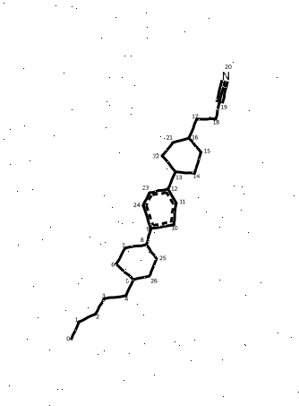 CCCCCC1CCC(c2ccc(C3CCC(CCC#N)CC3)cc2)CC1